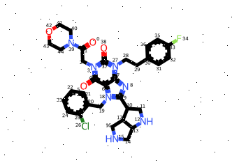 O=C(Cn1c(=O)c2c(nc(C3CNC4CNCC43)n2Cc2ccccc2Cl)n(CCc2ccc(F)cc2)c1=O)N1CCOCC1